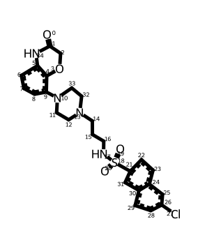 O=C1COc2c(cccc2N2CCN(CCCNS(=O)(=O)c3ccc4cc(Cl)ccc4c3)CC2)N1